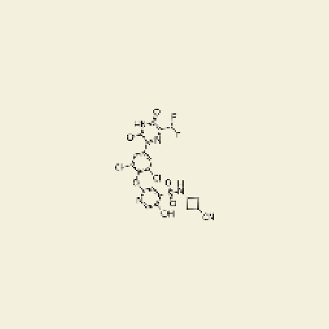 N#C[C@H]1C[C@H](NS(=O)(=O)c2cc(Oc3c(Cl)cc(-n4nc(C(F)F)c(=O)[nH]c4=O)cc3Cl)ncc2O)C1